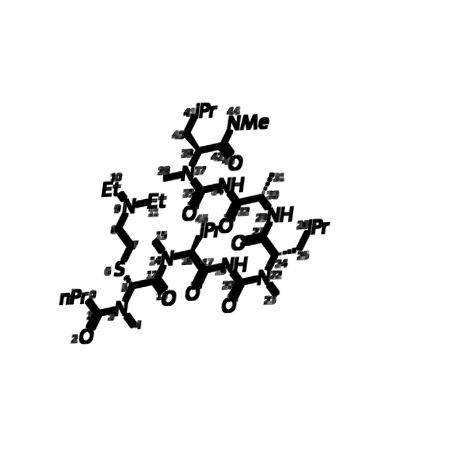 CCCC(=O)N(C)[C@H](SCCN(CC)CC)C(=O)N(C)[C@H](C(=O)NC(=O)N(C)[C@@H](CC(C)C)C(=O)N[C@@H](C)C(=O)NC(=O)N(C)[C@@H](CC(C)C)C(=O)NC)C(C)C